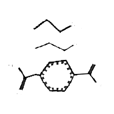 CCCN.CCCN.O=C(O)c1ccc(C(=O)O)cc1